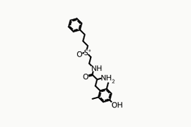 Cc1cc(O)cc(C)c1CC(N)C(=O)NCC[S+]([O-])CCCc1ccccc1